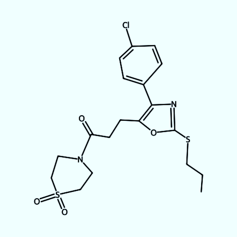 CCCSc1nc(-c2ccc(Cl)cc2)c(CCC(=O)N2CCS(=O)(=O)CC2)o1